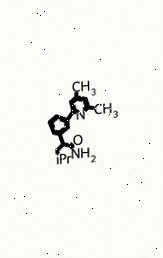 Cc1cc(C)nc(-c2cccc(C(CC(C)C)C(N)=O)c2)c1